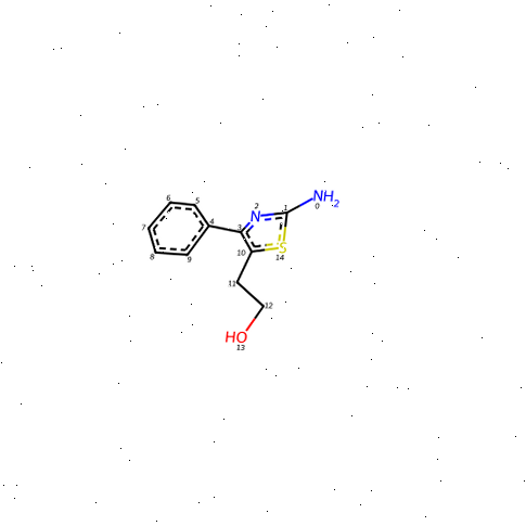 Nc1nc(-c2ccccc2)c(CCO)s1